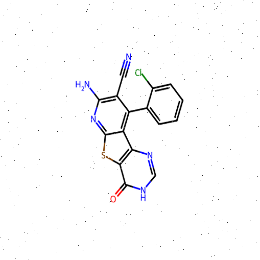 N#Cc1c(N)nc2sc3c(=O)[nH]cnc3c2c1-c1ccccc1Cl